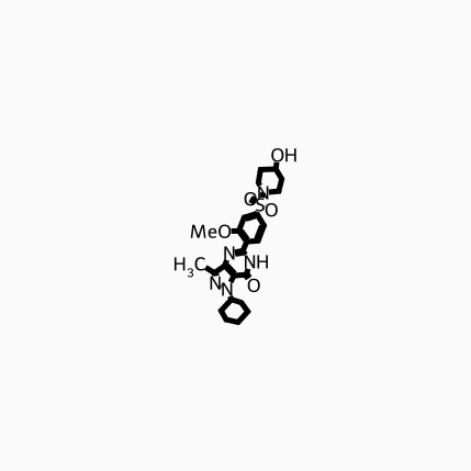 COc1cc(S(=O)(=O)N2CCC(O)CC2)ccc1-c1nc2c(C)nn(C3CCCCC3)c2c(=O)[nH]1